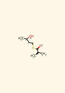 C=C(C)C(=O)SCCC(C)O